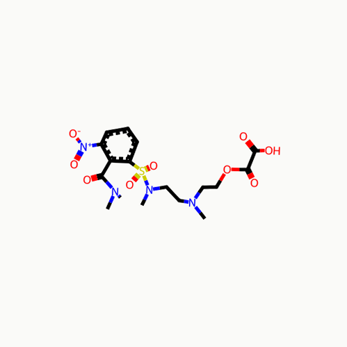 CN(CCOC(=O)C(=O)O)CCN(C)S(=O)(=O)c1cccc([N+](=O)[O-])c1C(=O)N(C)C